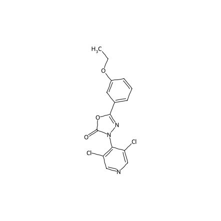 CCOc1cccc(-c2nn(-c3c(Cl)cncc3Cl)c(=O)o2)c1